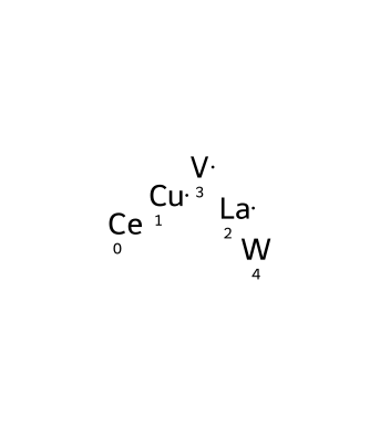 [Ce].[Cu].[La].[V].[W]